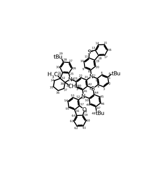 CC(C)(C)c1ccc2c(c1)N(c1ccc3sc4ccccc4c3c1)c1cc(N3c4ccc(C(C)(C)C)cc4C4(C)CCCCC34C)cc3c1B2c1ccc(C(C)(C)C)cc1N3c1cccc2c1oc1ccccc12